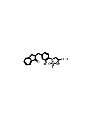 O=CC1CN(c2ccc(CC3Cc4ccccc4C3=O)cc2O)S(=O)(=O)N1